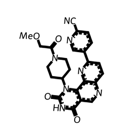 COCC(=O)N1CCC(n2c(=O)[nH]c(=O)c3cnc4ccc(-c5ccc(C#N)nc5)nc4c32)CC1